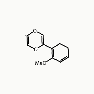 COC1=C(C2=CO[C]=CO2)CCC=C1